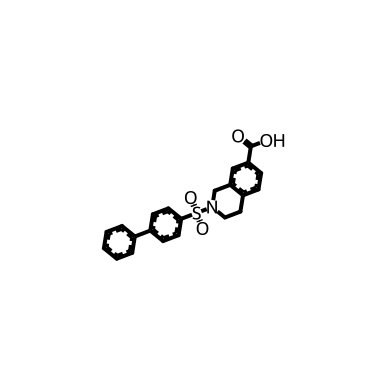 O=C(O)c1ccc2c(c1)CN(S(=O)(=O)c1ccc(-c3ccccc3)cc1)CC2